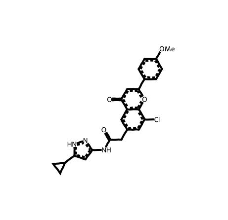 COc1ccc(-c2cc(=O)c3cc(CC(=O)Nc4cc(C5CC5)[nH]n4)cc(Cl)c3o2)cc1